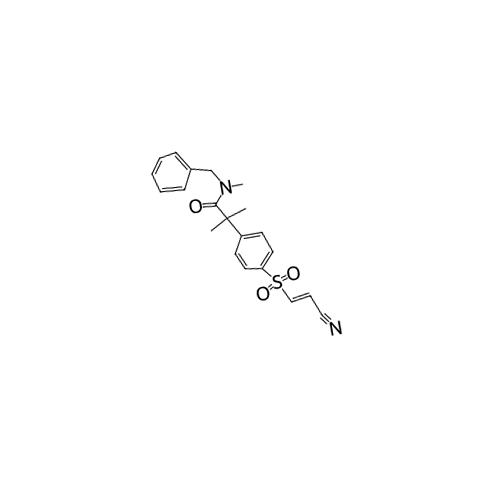 CN(Cc1ccccc1)C(=O)C(C)(C)c1ccc(S(=O)(=O)C=CC#N)cc1